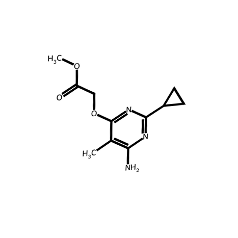 COC(=O)COc1nc(C2CC2)nc(N)c1C